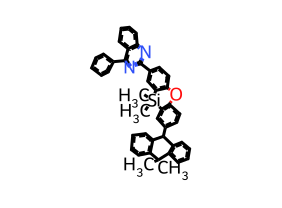 CC1(C)c2ccccc2C(c2ccc3c(c2)[Si](C)(C)c2cc(-c4nc(-c5ccccc5)c5ccccc5n4)ccc2O3)c2ccccc21